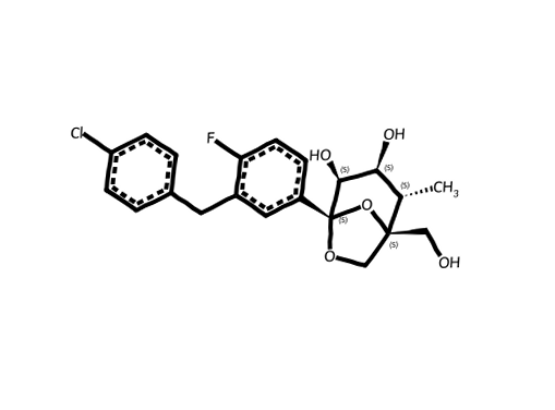 C[C@H]1[C@H](O)[C@H](O)[C@@]2(c3ccc(F)c(Cc4ccc(Cl)cc4)c3)OC[C@]1(CO)O2